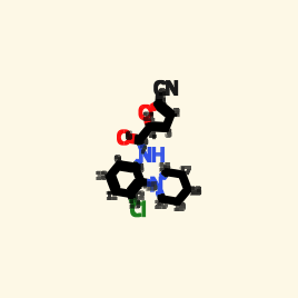 N#Cc1ccc(C(=O)Nc2cccc(Cl)c2N2CCCCC2)o1